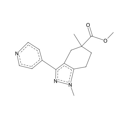 COC(=O)C1(C)CCc2c(c(-c3ccncc3)nn2C)C1